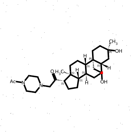 CC(=O)N1CCN(CC(=O)[C@H]2CC[C@H]3[C@@H]4CC[C@H]5C[C@](C)(O)CC[C@]5(CCO)[C@H]4CC[C@]23C)CC1